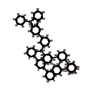 c1ccc(-c2ccc(-c3ccccc3N(c3cccc(-c4ccc5c(c4)c4ccccc4n5-c4ccccc4)c3)c3cccc(-c4cccc(-c5ccccc5)c4-c4ccccc4-c4ccccc4)c3)cc2)cc1